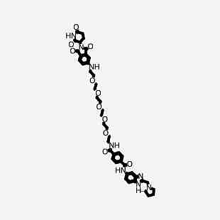 C[C@H]1CCCN1Cc1nc2cc(NC(=O)c3ccc(C(=O)NCCOCCOCCOCCOCCOCCNc4ccc5c(c4)C(=O)N(C4CCC(=O)NC4=O)C5=O)cc3)ccc2[nH]1